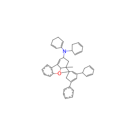 CC1(C2(C)CC(N(C3=CCCC=C3)C3C=CC=CC3)C=C3c4ccccc4OC32)C=C(C2C=CC=CC2)C=C(c2ccccc2)C1